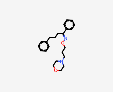 c1ccc(CCCC(=NOCCCN2CCOCC2)c2ccccc2)cc1